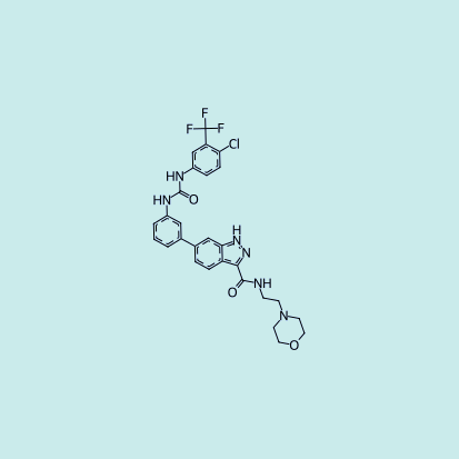 O=C(Nc1cccc(-c2ccc3c(C(=O)NCCN4CCOCC4)n[nH]c3c2)c1)Nc1ccc(Cl)c(C(F)(F)F)c1